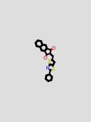 O=C1C(=Cc2cc3sc(-c4ccccc4)nc3s2)C(=O)c2cc3ccccc3cc21